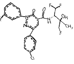 CC(O)(CF)[C@H](NC(=O)c1cc(-c2ccc(Cl)cc2)nn(-c2cccc(F)c2)c1=O)C(F)F